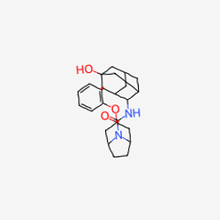 O=C(NC1C2CC3CC1CC(O)(C3)C2)N1C2CCC1CC(Oc1ccccc1)C2